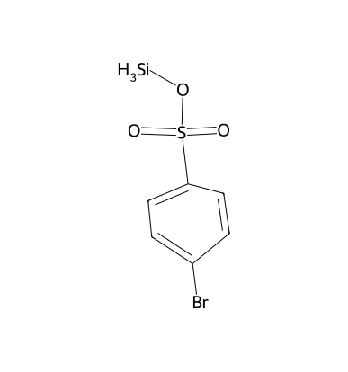 O=S(=O)(O[SiH3])c1ccc(Br)cc1